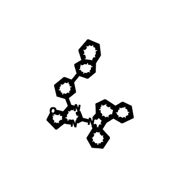 c1cc(-c2ccc3ccccc3c2)cc(-c2nc(-n3c4ccccc4c4c5ccccc5ccc43)nc3ccoc23)c1